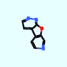 c1cc2c(cn1)oc1nnccc12